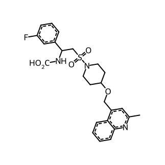 Cc1cc(COC2CCN(S(=O)(=O)CC(NC(=O)O)c3cccc(F)c3)CC2)c2ccccc2n1